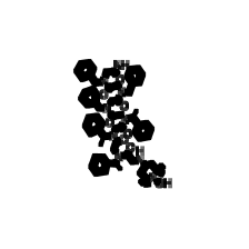 C[C@@H](c1ccccc1)N(CC(=O)N(CC(=O)N(CC(=O)N(CC(N)=O)Cc1ccccc1)Cc1ccccc1)Cc1ccccc1)C(=O)CN(C(=O)CN(C(=O)CNC1CC(C)(C)N(O)C(C)(C)C1)[C@@H](C)c1ccccc1)[C@@H](C)c1ccccc1